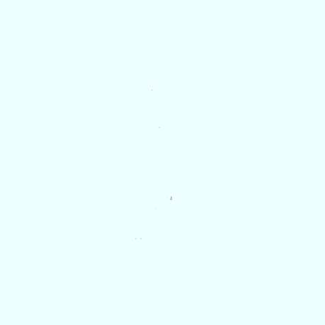 O=CCC(=O)Nc1ccc(N2CCNCC2)c(F)c1